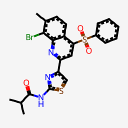 Cc1ccc2c(S(=O)(=O)c3ccccc3)cc(-c3csc(NC(=O)C(C)C)n3)nc2c1Br